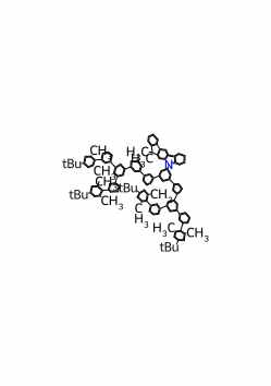 Cc1cc(C(C)(C)C)cc(C)c1-c1cccc(-c2cc(-c3cccc(-c4cccc(-c5cc(-c6cccc(-c7cc(-c8cccc(-c9c(C)cc(C(C)(C)C)cc9C)c8)cc(-c8cccc(-c9c(C)cc(C(C)(C)C)cc9C)c8)c7)c6)cc(-n6c7ccccc7c7cc8c(cc76)C(C)(C)c6ccccc6-8)c5)c4)c3)cc(-c3cccc(-c4c(C)cc(C(C)(C)C)cc4C)c3)c2)c1